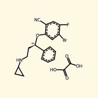 N#Cc1cc(F)c(Br)cc1O[C@H](CCNC1CC1)c1ccccc1.O=C(O)C(=O)O